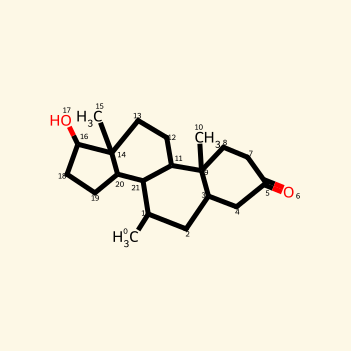 CC1CC2CC(=O)CCC2(C)C2CCC3(C)C(O)CCC3C12